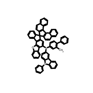 Cc1cc(N(c2ccc3c(c2)c2ccccc2n3-c2ccccc2)c2cc3c(c4oc5ccccc5c24)-c2ccccc2C32c3ccc4ccccc4c3-c3c2ccc2ccccc32)ccc1-c1ccccc1